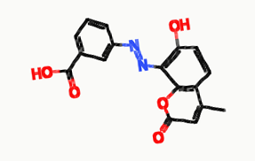 Cc1cc(=O)oc2c(/N=N/c3cccc(C(=O)O)c3)c(O)ccc12